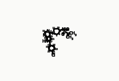 CN(C)S(=O)(=O)NC1CCN(c2ncnc3[nH]c(-c4ccc(Cl)cc4)cc23)CC1